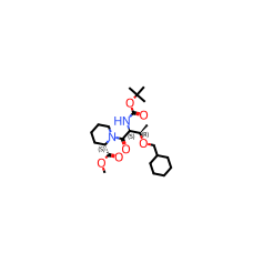 COC(=O)[C@@H]1CCCCN1C(=O)[C@@H](NC(=O)OC(C)(C)C)[C@@H](C)OCC1CCCCC1